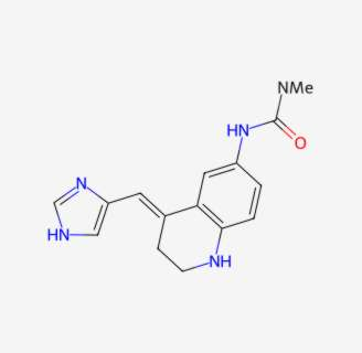 CNC(=O)Nc1ccc2c(c1)/C(=C/c1c[nH]cn1)CCN2